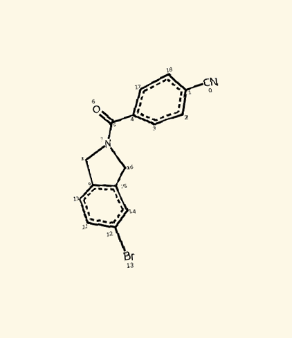 N#Cc1ccc(C(=O)N2Cc3ccc(Br)cc3C2)cc1